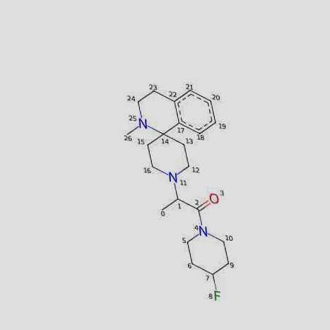 CC(C(=O)N1CCC(F)CC1)N1CCC2(CC1)c1ccccc1CCN2C